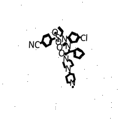 C=CC(n1c(=O)n(C(C(=O)N2CCN(C3CCN(C)CC3)CC2)c2ccccc2)c2cc(Cl)ccc21)S(=O)(=O)c1ccc(C#N)cc1